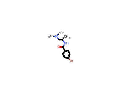 CCCN(CCC)C[C@@H](C)NC(=O)c1ccc(Br)cc1